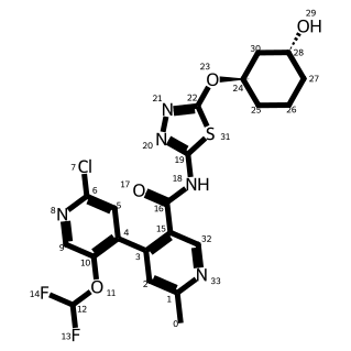 Cc1cc(-c2cc(Cl)ncc2OC(F)F)c(C(=O)Nc2nnc(O[C@@H]3CCC[C@@H](O)C3)s2)cn1